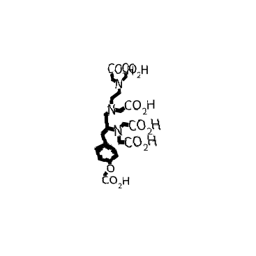 O=C(O)COc1ccc(CC(CN(CCN(CC(=O)O)CC(=O)O)CC(=O)O)N(CC(=O)O)CC(=O)O)cc1